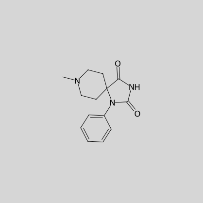 CN1CCC2(CC1)C(=O)NC(=O)N2c1ccccc1